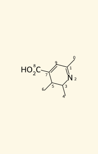 CC1=NC(C)C(C)C(C(=O)O)=C1